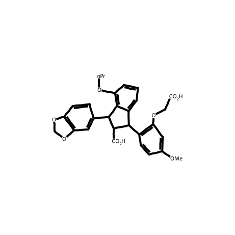 CCCOc1cccc2c1C(c1ccc3c(c1)OCO3)C(C(=O)O)C2c1ccc(OC)cc1OCC(=O)O